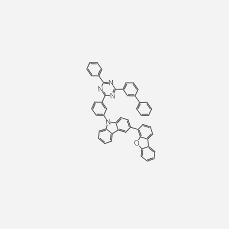 c1ccc(-c2cccc(-c3nc(-c4ccccc4)nc(-c4cccc(-n5c6ccccc6c6cc(-c7cccc8c7oc7ccccc78)ccc65)c4)n3)c2)cc1